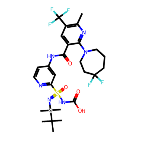 Cc1nc(N2CCCC(F)(F)CC2)c(C(=O)Nc2ccnc(S(=O)(=N[Si](C)(C)C(C)(C)C)NC(=O)O)c2)cc1C(F)(F)F